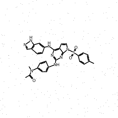 CC(=O)N(C)c1ccc(Nc2nc(Nc3ccc4cn[nH]c4c3)c3ccn(S(=O)(=O)c4ccc(C)cc4)c3n2)cc1